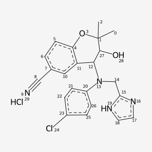 CC1(C)Oc2ccc(C#N)cc2C(N(Cc2ncc[nH]2)c2ccc(Cl)cc2)C1O.Cl